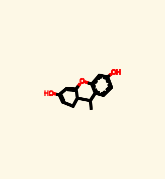 CC1c2ccc(O)cc2OC2=CC(O)=CCC21